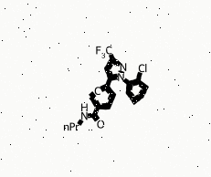 CCCNC(=O)c1ccc(-c2cc(C(F)(F)F)nn2-c2ccccc2Cl)cc1